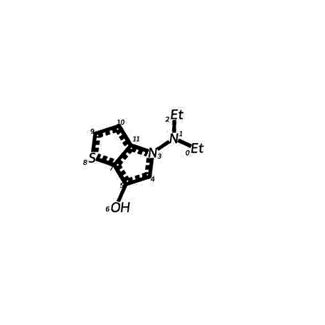 CCN(CC)n1cc(O)c2sccc21